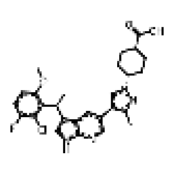 COc1ccc(F)c(Cl)c1[C@@H](C)c1c[nH]c2ncc(-c3cn([C@H]4CC[C@H](C(=O)O)CC4)nc3C)cc12